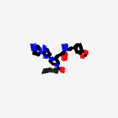 COC(=O)N1CCN(c2ccnc(-n3ccnc3)n2)C(CC(=O)NCCc2ccc3c(c2)OCO3)C1